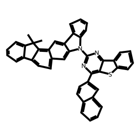 CC1(C)c2ccccc2-c2ccc3cc4c(cc3c21)c1ccccc1n4-c1nc(-c2ccc3ccccc3c2)c2sc3ccccc3c2n1